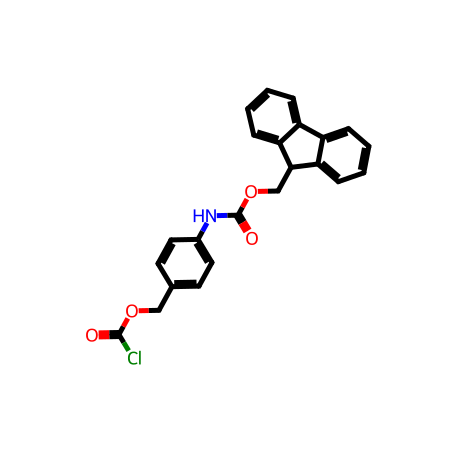 O=C(Cl)OCc1ccc(NC(=O)OCC2c3ccccc3-c3ccccc32)cc1